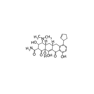 CN(C)[C@@H]1C(O)C(C(N)=O)C(=O)[C@@]2(O)C(O)=C3C(=O)c4c(O)ccc(C5C=CCC5)c4C[C@H]3C[C@@H]12